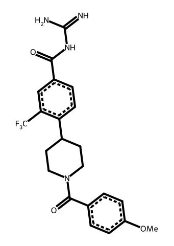 COc1ccc(C(=O)N2CCC(c3ccc(C(=O)NC(=N)N)cc3C(F)(F)F)CC2)cc1